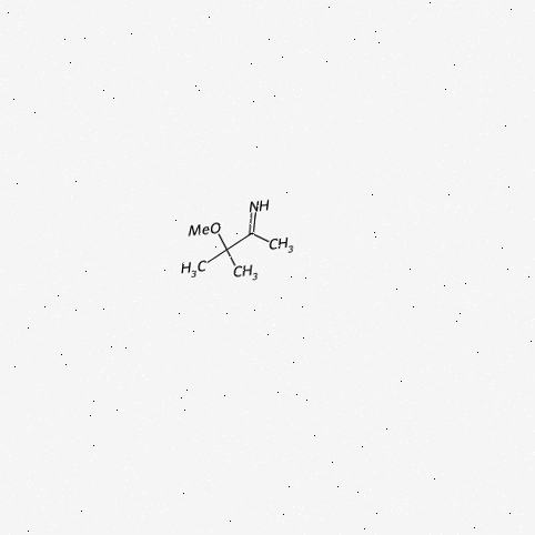 COC(C)(C)C(C)=N